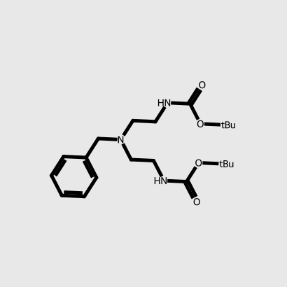 CC(C)(C)OC(=O)NCCN(CCNC(=O)OC(C)(C)C)Cc1ccccc1